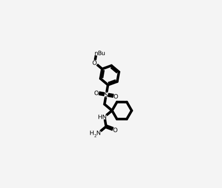 CCCCOc1cccc(S(=O)(=O)CC2(NC(N)=O)CCCCC2)c1